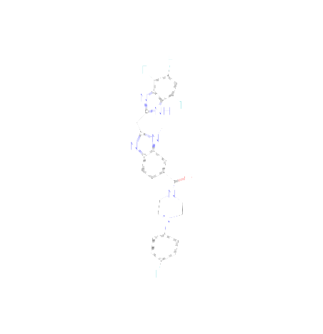 Cn1c(Cc2nc3c(F)c(F)cc(F)c3[nH]2)nc2ccc(C(=O)N3CCN(c4ccc(F)cc4)CC3)cc21